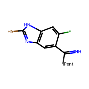 CCCCCC(=N)c1cc2nc(S)[nH]c2cc1F